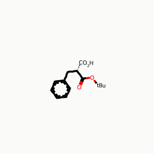 CC(C)(C)OC(=O)[C@H](Cc1ccccc1)C(=O)O